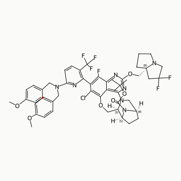 COc1ccc(CN(Cc2ccc(OC)cc2)c2ccc(C(F)(F)F)c(-c3c(Cl)c4c5c(nc(OC[C@]67CCCN6CC(F)(F)C7)nc5c3F)N3C[C@H]5CC[C@@H]([C@H]3CO4)N5C(=O)OC(C)(C)C)n2)cc1